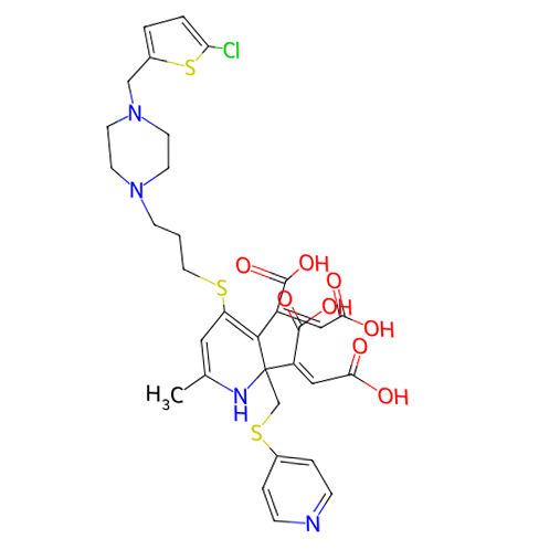 CC1=CC(SCCCN2CCN(Cc3ccc(Cl)s3)CC2)=C(C(=CC(=O)O)C(=O)O)C(CSc2ccncc2)(C(=CC(=O)O)C(=O)O)N1